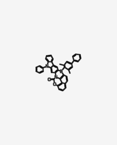 Cc1cc(-c2ccccc2)cc(C)c1B1c2cc3c4ccccc4n(-c4ccccc4)c3cc2N2C(=O)Oc3cccc4ccc1c2c34